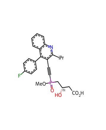 COP(=O)(C#Cc1c(C(C)C)nc2ccccc2c1-c1ccc(F)cc1)C[C@@H](O)CC(=O)O